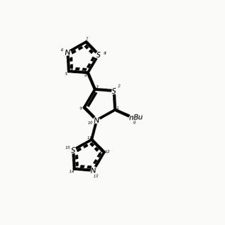 CCCCC1SC(c2cncs2)=[C]N1c1cncs1